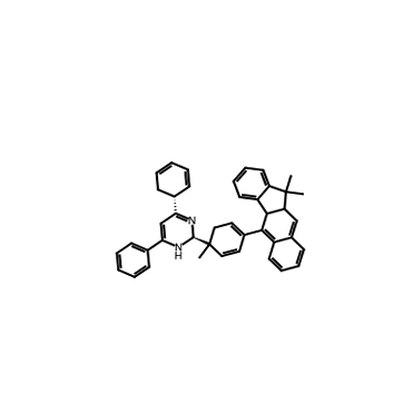 CC1(C)c2ccccc2C2C(C3=CCC(C)([C@@H]4N=C([C@H]5C=CC=CC5)C=C(c5ccccc5)N4)C=C3)=c3ccccc3=CC21